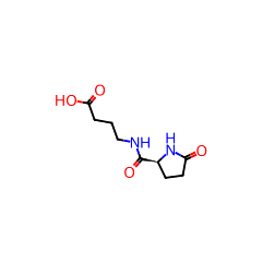 O=C(O)CCCNC(=O)[C@@H]1CCC(=O)N1